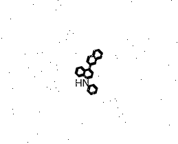 c1ccc(Nc2ccc(-c3ccc4ccccc4c3)c3ccccc23)cc1